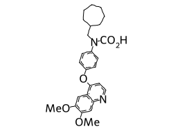 COc1cc2nccc(Oc3ccc(N(CC4CCCCCC4)C(=O)O)cc3)c2cc1OC